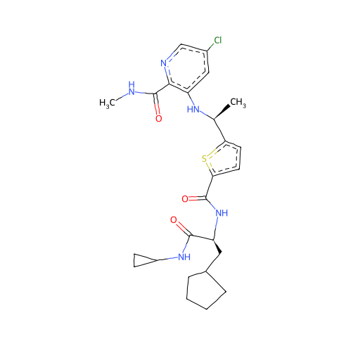 CNC(=O)c1ncc(Cl)cc1N[C@@H](C)c1ccc(C(=O)N[C@@H](CC2CCCC2)C(=O)NC2CC2)s1